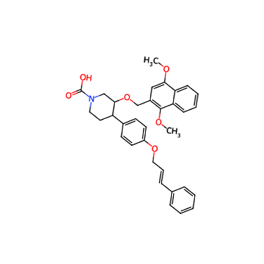 COc1cc(COC2CN(C(=O)O)CCC2c2ccc(OCC=Cc3ccccc3)cc2)c(OC)c2ccccc12